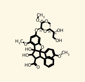 COc1ccc(C23Oc4cc(O[C@@H]5O[C@@H]([C@H](O)CO)CO[C@H]5OC)cc(OC)c4C2(O)C(O)C(C(=O)O)C3c2ccccc2)cc1